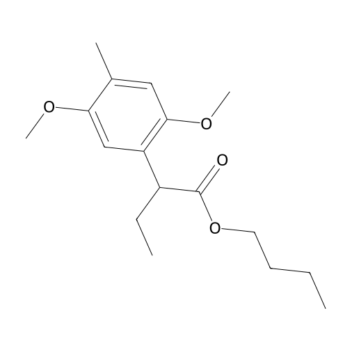 CCCCOC(=O)C(CC)c1cc(OC)c(C)cc1OC